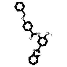 Cc1ccc(-c2nc3ccccc3s2)cc1NC(=O)c1ccc(OCc2ccccc2)cc1